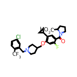 O=C(O)C1CCCN1C(=O)c1cc(C2CC2)c(OCC2CCN(Cc3cc(Cl)ccc3C(F)(F)F)CC2)cc1F